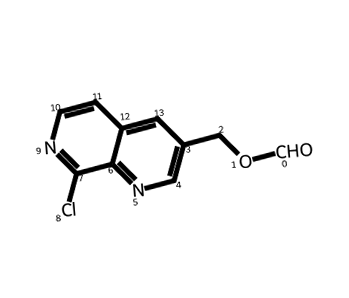 O=COCc1cnc2c(Cl)nccc2c1